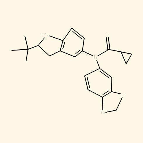 CC(C)(C)C1Cc2cc(N(C(=O)C3CC3)c3ccc4c(c3)OCO4)ccc2N1